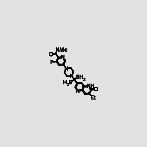 BC(B)(c1cnc2cc(CC)c(=O)[nH]c2c1)N1CCN(c2cnc(C(=O)NC)c(F)c2)CC1